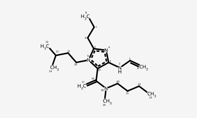 C=CNc1nc(CCC)n(CCC(C)C)c1C(=C)N(C)CCCC